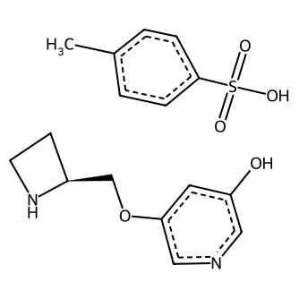 Cc1ccc(S(=O)(=O)O)cc1.Oc1cncc(OC[C@@H]2CCN2)c1